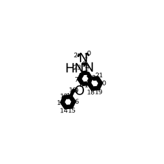 CN(C)c1nc2c(cc(OCc3ccccc3)c3ccccc32)[nH]1